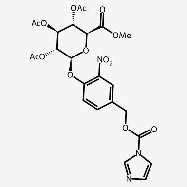 COC(=O)[C@H]1O[C@@H](Oc2ccc(COC(=O)n3ccnc3)cc2[N+](=O)[O-])[C@H](OC(C)=O)[C@@H](OC(C)=O)[C@@H]1OC(C)=O